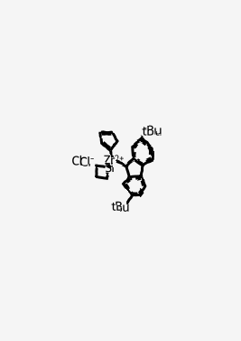 CC(C)(C)c1ccc2c(c1)[CH]([Zr+2]([C]1=CC=CC1)=[Si]1CCC1)c1cc(C(C)(C)C)ccc1-2.[Cl-].[Cl-]